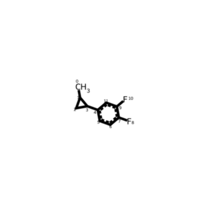 CC1CC1c1[c]cc(F)c(F)c1